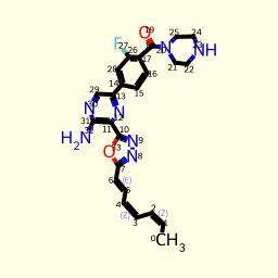 C\C=C/C=C\C=C\c1nnc(-c2nc(-c3ccc(C(=O)N4CCNCC4)c(F)c3)cnc2N)o1